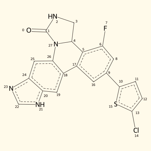 O=C1NCC2c3c(F)cc(-c4ccc(Cl)s4)cc3-c3cc4[nH]cnc4cc3N12